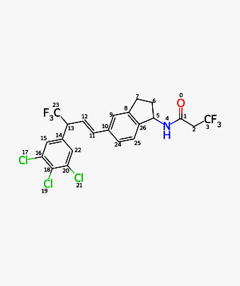 O=C(CC(F)(F)F)NC1CCc2cc(C=CC(c3cc(Cl)c(Cl)c(Cl)c3)C(F)(F)F)ccc21